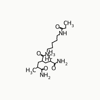 CCC(=O)NCCCCCNC(=O)C(CC(C)C(N)=O)CC(C)C(N)=O